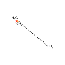 CCCCCCCCCCCCCCCCCCCCCP(C)(=O)CC